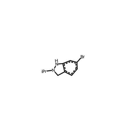 CC(C)N1Cc2ccc(Br)cc2N1